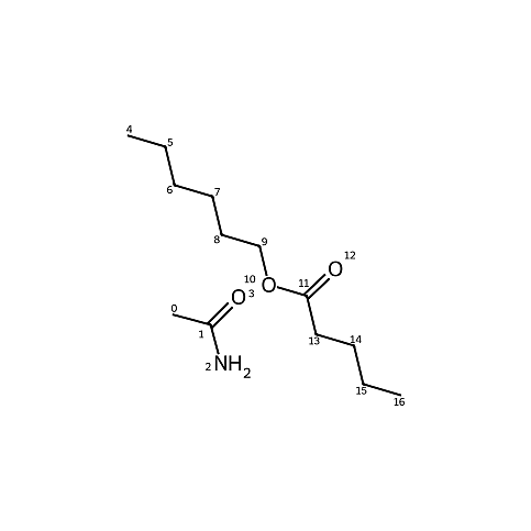 CC(N)=O.CCCCCCOC(=O)CCCC